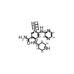 Cl.Cl.Cl.NC(=O)c1cnc(Nc2cnccn2)cc1NC1CCNCC1